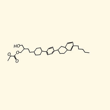 CCCCCC1=CC2CCC(c3ccc(C4CCC(CCC(CO)COC(=O)C(C)=O)CC4)cc3)CC2C=C1